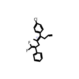 C=CC/C(=C(/C)CC(=C(F)F)c1ccccc1)c1ccc(Cl)cc1